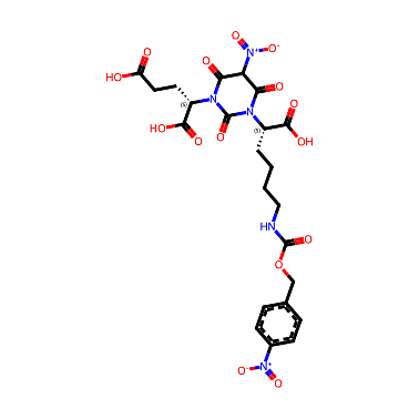 O=C(O)CC[C@@H](C(=O)O)N1C(=O)C([N+](=O)[O-])C(=O)N([C@@H](CCCCNC(=O)OCc2ccc([N+](=O)[O-])cc2)C(=O)O)C1=O